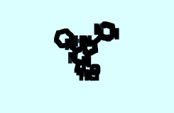 Cc1nc(N2CCCCC2)c2[nH]c(-c3cnccn3)cc2n1.Cl.O